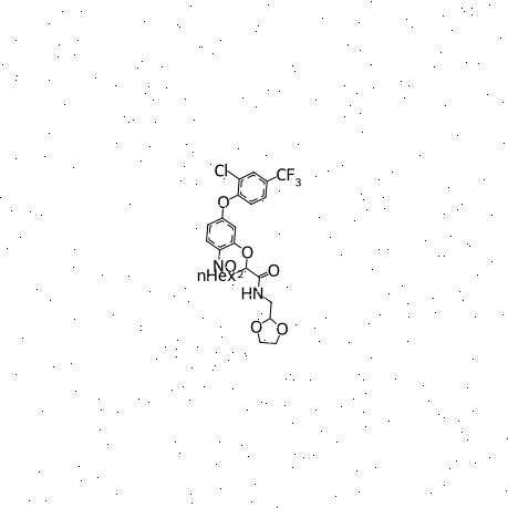 CCCCCCC(Oc1cc(Oc2ccc(C(F)(F)F)cc2Cl)ccc1[N+](=O)[O-])C(=O)NCC1OCCO1